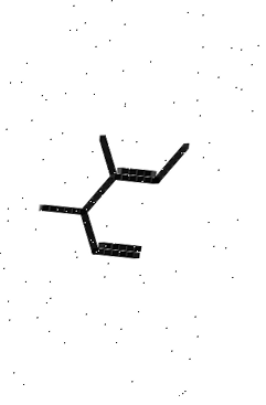 C=CC(C)C(C)=CC